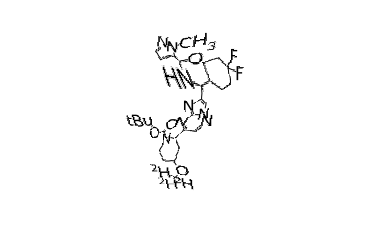 [2H]C([2H])([2H])OC1CCN(C(=O)OC(C)(C)C)C(c2cnn3cc([C@@H](NC(=O)c4ccnn4C)C4CCC(F)(F)CC4)nc3n2)C1